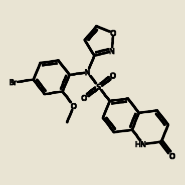 COc1cc(Br)ccc1N(c1ccon1)S(=O)(=O)c1ccc2[nH]c(=O)ccc2c1